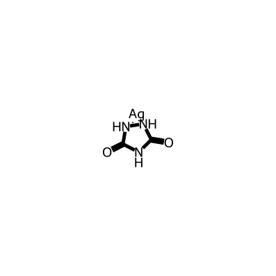 O=c1[nH][nH]c(=O)[nH]1.[Ag]